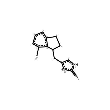 S=c1[nH]cc(CC2CCc3cccc(Cl)c32)[nH]1